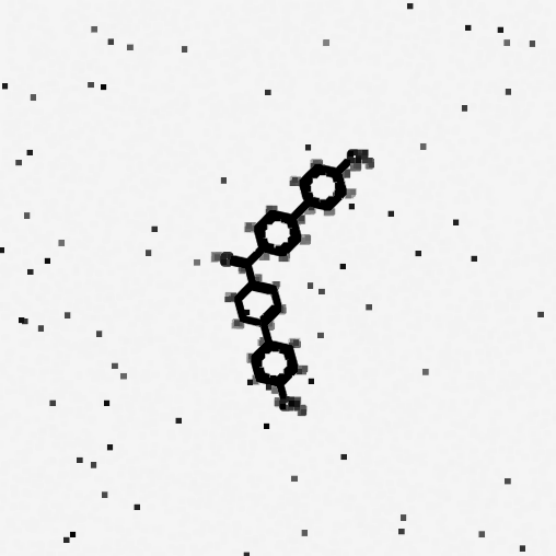 Cc1ccc(C2=CC=C(C(=O)c3ccc(-c4ccc(C)cc4)cc3)CC2)cc1